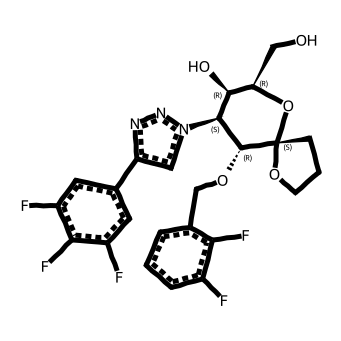 OC[C@H]1O[C@@]2(CCCO2)[C@H](OCc2cccc(F)c2F)[C@@H](n2cc(-c3cc(F)c(F)c(F)c3)nn2)[C@H]1O